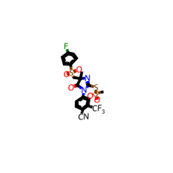 CC1(CS(=O)(=O)c2ccc(F)cc2)N=C(SS(C)(=O)=O)N(c2ccc(C#N)c(C(F)(F)F)c2)C1=O